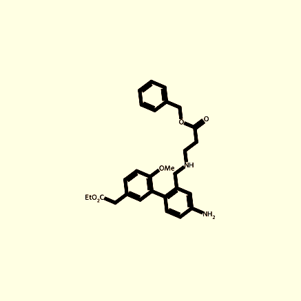 CCOC(=O)Cc1ccc(OC)c(-c2ccc(N)cc2CNCCC(=O)OCc2ccccc2)c1